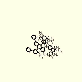 Cc1cc2c3c(c1)N(c1cc4c(cc1C)C(C)(C)CC4(C)C)c1cc4c(cc1B3c1cc(-c3ccccc3)ccc1N2c1cc(-c2ccccc2)ccc1C)C(C)(C)CCC4(C)C